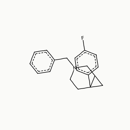 Fc1ccc(C23CCN(Cc4ccccc4)CC2C3)cc1